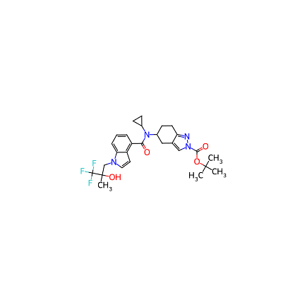 CC(C)(C)OC(=O)n1cc2c(n1)CCC(N(C(=O)c1cccc3c1ccn3CC(C)(O)C(F)(F)F)C1CC1)C2